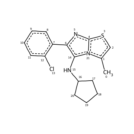 Cc1csc2nc(-c3ccccc3Cl)c(NC3CCCC3)n12